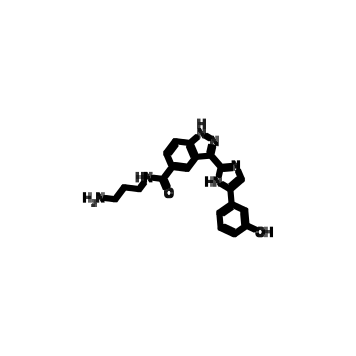 NCCCNC(=O)c1ccc2[nH]nc(-c3ncc(-c4cccc(O)c4)[nH]3)c2c1